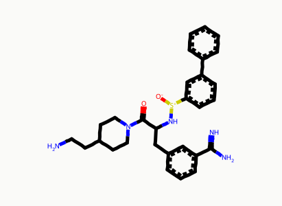 N=C(N)c1cccc(CC(N[S+]([O-])c2cccc(-c3ccccc3)c2)C(=O)N2CCC(CCN)CC2)c1